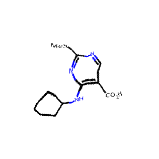 CSc1ncc(C(=O)O)c(NC2CCC2)n1